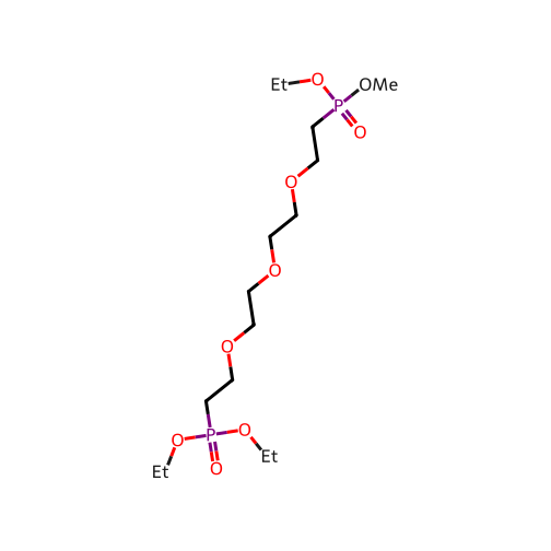 CCOP(=O)(CCOCCOCCOCCP(=O)(OCC)OCC)OC